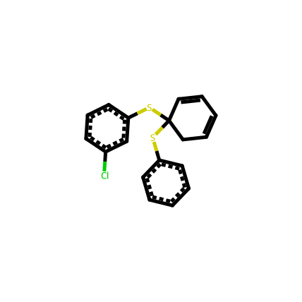 Clc1cccc(SC2(Sc3ccccc3)C=CC=CC2)c1